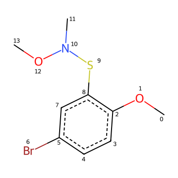 COc1ccc(Br)cc1SN(C)OC